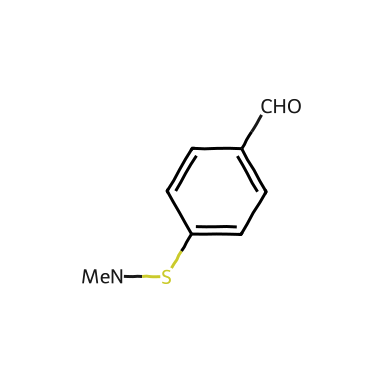 CNSc1ccc(C=O)cc1